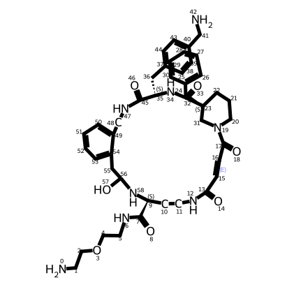 NCCOCCNC(=O)[C@@H]1CCNC(=O)/C=C/C(=O)N2CCC[C@](Cc3ccccc3)(C2)C(=O)N[C@@H](Cc2ccc(CN)cc2)C(=O)NCc2ccccc2CC(O)N1